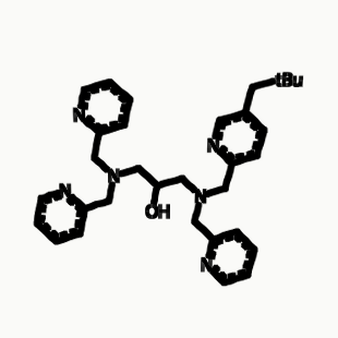 CC(C)(C)Cc1ccc(CN(Cc2ccccn2)CC(O)CN(Cc2ccccn2)Cc2ccccn2)nc1